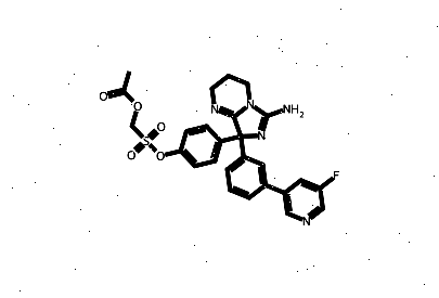 CC(=O)OCS(=O)(=O)Oc1ccc(C2(c3cccc(-c4cncc(F)c4)c3)N=C(N)N3CCCN=C32)cc1